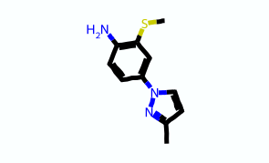 CSc1cc(-n2ccc(C)n2)ccc1N